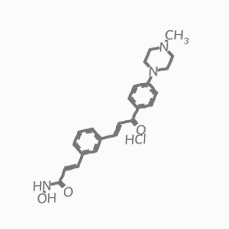 CN1CCN(c2ccc(C(=O)/C=C/c3cccc(/C=C/C(=O)NO)c3)cc2)CC1.Cl